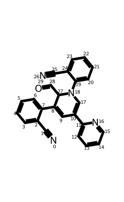 N#Cc1ccccc1C1=CC(c2ccccn2)=CN(c2ccccc2C#N)C1C=O